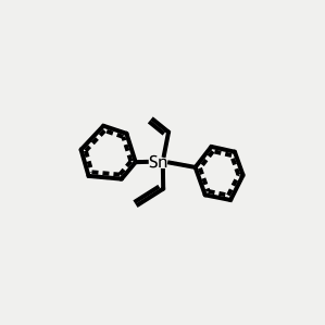 C=[CH][Sn]([CH]=C)([c]1ccccc1)[c]1ccccc1